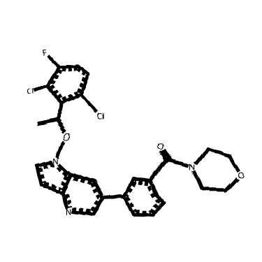 CC(On1ccc2ncc(-c3cccc(C(=O)N4CCOCC4)c3)cc21)c1c(Cl)ccc(F)c1Cl